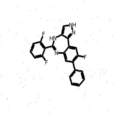 Fc1cc2c(cc1-c1ccccc1)N=C(c1c(F)cccc1F)Nc1c[nH]nc1-2